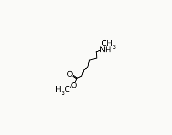 CNCCCCCCC(=O)OC